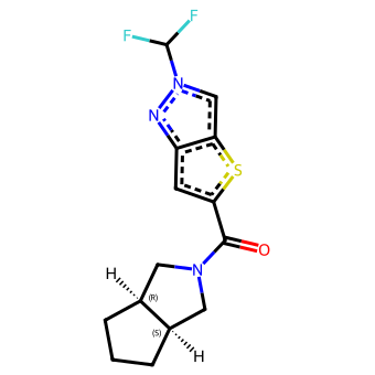 O=C(c1cc2nn(C(F)F)cc2s1)N1C[C@H]2CCC[C@H]2C1